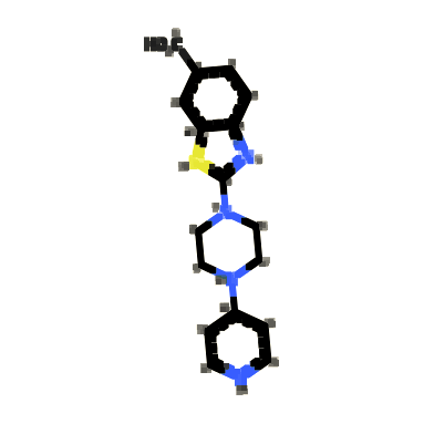 O=C(O)c1ccc2nc(N3CCN(c4ccncc4)CC3)sc2c1